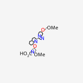 COCCOc1ccn2c(-c3ccc4cccc(OC5CC(OC)N(C(=O)O)C5)c4n3)cnc2c1